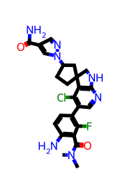 CN(C)C(=O)c1c(N)ccc(-c2cnc3c(c2Cl)C2(CCC(n4cc(C(N)=O)cn4)C2)CN3)c1F